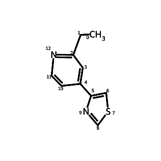 CCc1cc(-c2cscn2)ccn1